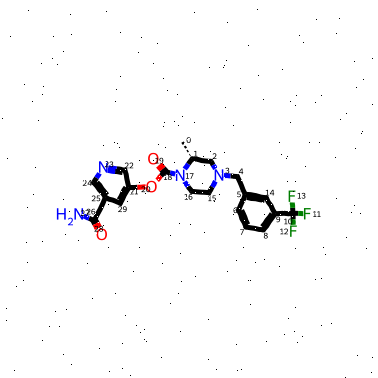 C[C@@H]1CN(Cc2cccc(C(F)(F)F)c2)CCN1C(=O)Oc1cncc(C(N)=O)c1